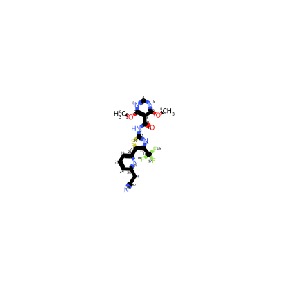 COc1ncnc(OC)c1C(=O)Nc1nc(C(F)(F)F)c(-c2cccc(CC#N)n2)s1